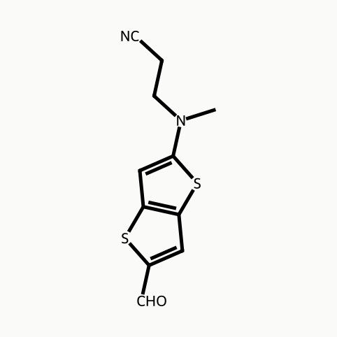 CN(CCC#N)c1cc2sc(C=O)cc2s1